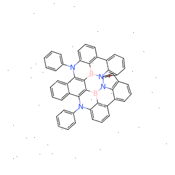 c1ccc(N2c3cccc4c3B(c3c5c(c6ccccc6c32)N(c2ccccc2)c2cccc3c2B5n2ccc5cccc-3c52)n2ccc3cccc-4c32)cc1